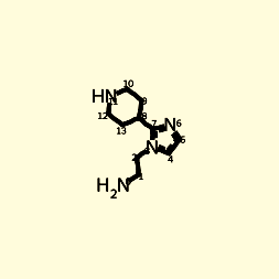 NCCn1ccnc1C1CCNCC1